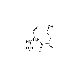 C=C(CCO)C(N)=O.C=CCNC(=O)O